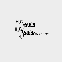 C=CC[N+](C)(C)Cc1ccccc1.C=CC[N+](C)(C)Cc1ccccc1.O=C([O-])CCC(=O)[O-]